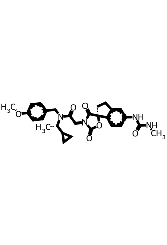 CNC(=O)Nc1ccc2c(c1)CC[C@@]21OC(=O)N(CC(=O)N(Cc2ccc(OC)cc2)[C@@H](C)C2CC2)C1=O